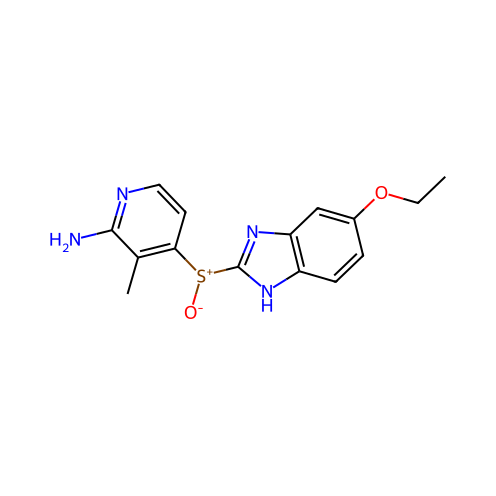 CCOc1ccc2[nH]c([S+]([O-])c3ccnc(N)c3C)nc2c1